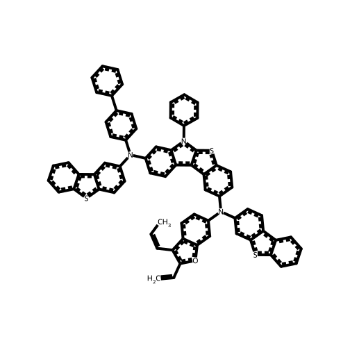 C=Cc1oc2cc(N(c3ccc4c(c3)sc3ccccc34)c3ccc4sc5c(c4c3)c3ccc(N(c4ccc(-c6ccccc6)cc4)c4ccc6sc7ccccc7c6c4)cc3n5-c3ccccc3)ccc2c1/C=C\C